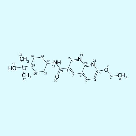 CCOc1ccc2cc(C(=O)NC3CCC(C(C)(C)O)CC3)cnc2n1